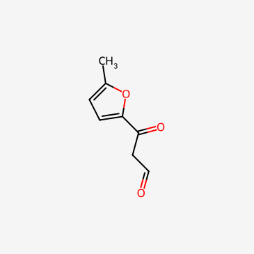 Cc1ccc(C(=O)CC=O)o1